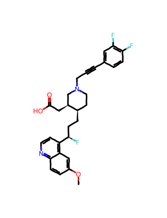 COc1ccc2nccc([C@H](F)CC[C@@H]3CCN(CC#Cc4ccc(F)c(F)c4)C[C@@H]3CC(=O)O)c2c1